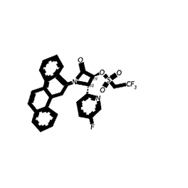 O=C1[C@@H](OS(=O)(=O)CC(F)(F)F)[C@H](c2ccc(F)cn2)N1C1=c2ccccc2=C2C=Cc3ccccc3C2C1